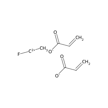 C=CC(=O)[O-].C=CC(=O)[O-].C[C+2]F